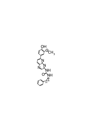 COc1cc(-c2ccc3ncc(NC(=O)N[C@@H]4C[C@H]4c4ccccc4)nc3n2)ccc1O